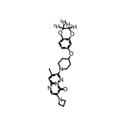 [2H]C1([2H])Oc2ccc(OC3CCN(c4nn5c(=O)c(N6CCC6)cnc5cc4C)CC3)cc2OC1([2H])[2H]